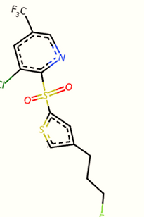 O=S(=O)(c1cc(CCCF)[c]s1)c1ncc(C(F)(F)F)cc1Cl